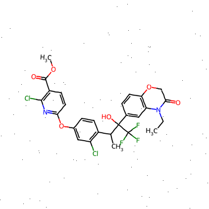 CCN1C(=O)COc2ccc(C(O)(C(C)c3ccc(Oc4ccc(C(=O)OC)c(Cl)n4)cc3Cl)C(F)(F)F)cc21